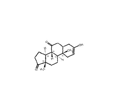 C[C@]12CC=C(O)CC1CC(=O)[C@@H]1[C@@H]2CC[C@]2(C)C(=O)CC[C@@H]12